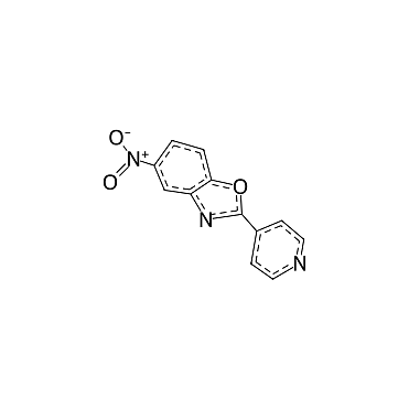 O=[N+]([O-])c1ccc2oc(-c3ccncc3)nc2c1